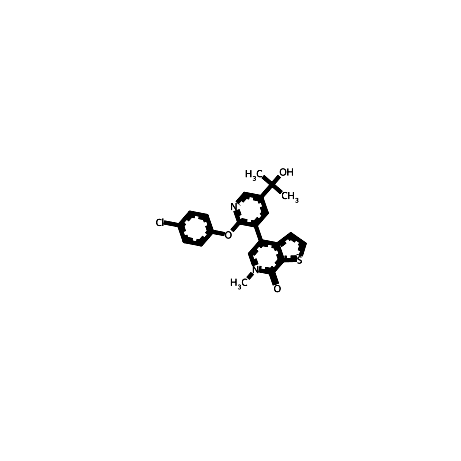 Cn1cc(-c2cc(C(C)(C)O)cnc2Oc2ccc(Cl)cc2)c2ccsc2c1=O